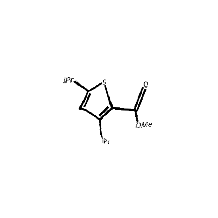 COC(=O)c1sc(C(C)C)cc1C(C)C